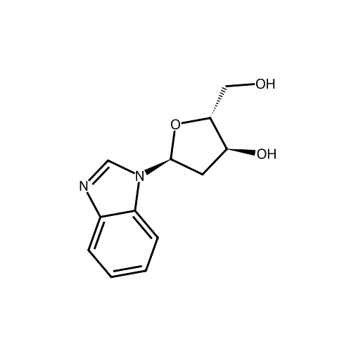 OC[C@H]1O[C@H](n2cnc3ccccc32)C[C@@H]1O